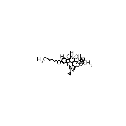 CCCCCCOc1ccc(C2(C)CC(c3ccn(C4CC4)n3)=C(C(=O)NS(C)(=O)=O)C(=O)N2)c(F)c1